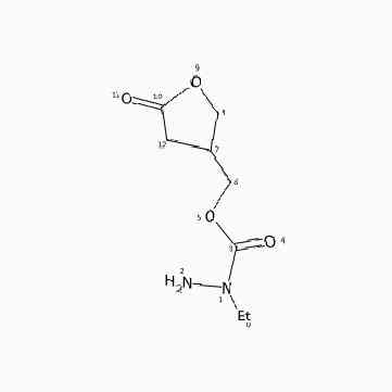 CCN(N)C(=O)OCC1COC(=O)C1